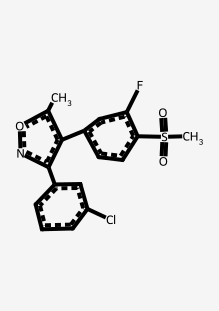 Cc1onc(-c2cccc(Cl)c2)c1-c1ccc(S(C)(=O)=O)c(F)c1